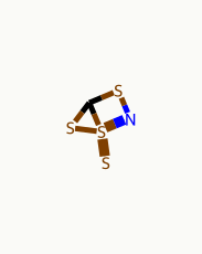 S=S12=NSC1S2